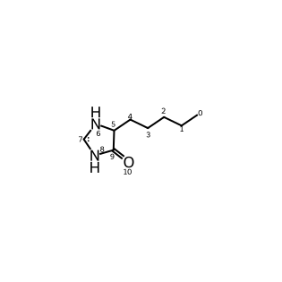 CCCCCC1N[C]NC1=O